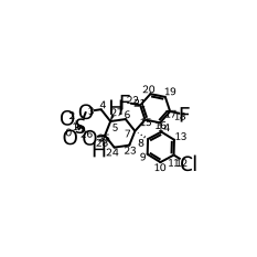 O=S1(=O)OC[C@@H]2C[C@@](c3ccc(Cl)cc3)(c3cc(F)ccc3F)CC[C@@H]2O1